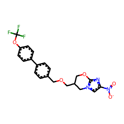 O=[N+]([O-])c1cn2c(n1)OCC(COCc1ccc(-c3ccc(OC(F)(F)F)cc3)cc1)C2